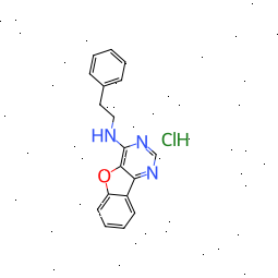 Cl.c1ccc(CCNc2ncnc3c2oc2ccccc23)cc1